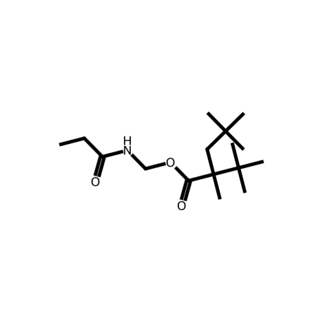 CCC(=O)NCOC(=O)C(C)(CC(C)(C)C)C(C)(C)C